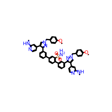 CNc1cc(-c2cn(Cc3ccc(OC)cc3)nc2-c2cccc(-c3ccc(-c4cccc(-c5nn(Cc6ccc(OC)cc6)cc5-c5ccnc(NC)c5)c4)c(S(N)(=O)=O)c3)c2)ccn1